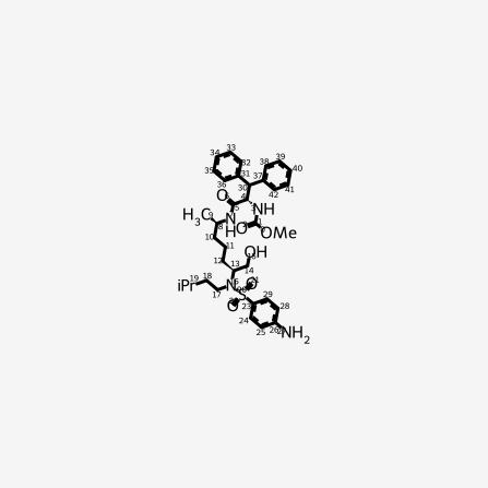 COC(=O)N[C@H](C(=O)N[C@H](C)CCC[C@@H](CO)N(CCC(C)C)S(=O)(=O)c1ccc(N)cc1)C(c1ccccc1)c1ccccc1